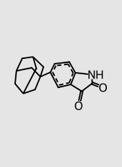 O=C1Nc2ccc(C34CC5CC(CC(C5)C3)C4)cc2C1=O